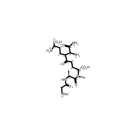 [2H]N(C(=O)[C@H](C)NC(=O)CCCCCCCCCCC)[C@H](CCC(=O)C(CCC(N)C(=O)O)C(N)C(N)=O)C(=O)O